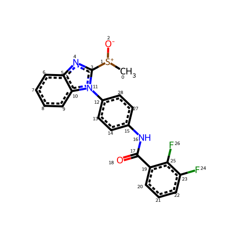 C[S+]([O-])c1nc2ccccc2n1-c1ccc(NC(=O)c2cccc(F)c2F)cc1